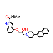 CNC(=O)c1cc2c(OCC(O)CN3CCC(c4ccc5ccccc5c4)CC3)cccc2n1C